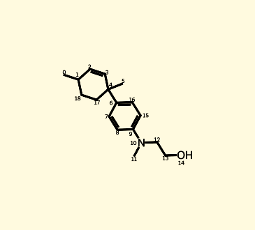 CC1C=CC(C)(c2ccc(N(C)CCO)cc2)CC1